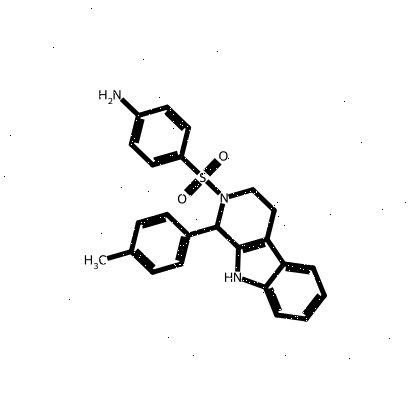 Cc1ccc(C2c3[nH]c4ccccc4c3CCN2S(=O)(=O)c2ccc(N)cc2)cc1